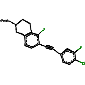 CCCCCC1CCc2c(ccc(C#Cc3ccc(Cl)c(F)c3)c2F)C1